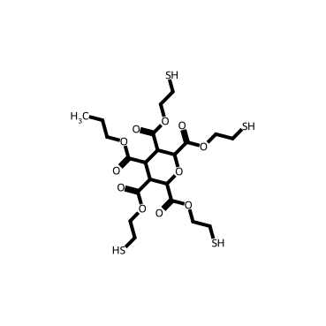 CCCOC(=O)C1C(C(=O)OCCS)C(C(=O)OCCS)OC(C(=O)OCCS)C1C(=O)OCCS